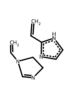 C=CN1C=NCC1.C=Cc1ncc[nH]1